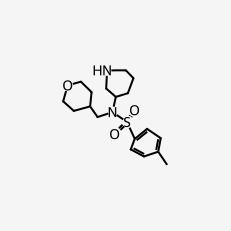 Cc1ccc(S(=O)(=O)N(CC2CCOCC2)C2CCCNC2)cc1